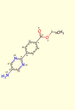 CCOC(=O)c1ccc(-c2ncc(N)cn2)cc1